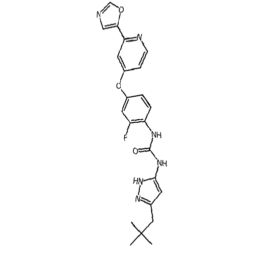 CC(C)(C)Cc1cc(NC(=O)Nc2ccc(Oc3ccnc(-c4cnco4)c3)cc2F)[nH]n1